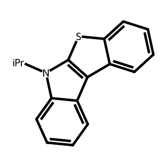 CC(C)n1c2ccccc2c2c3ccccc3sc21